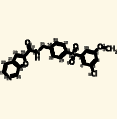 COc1cc(Cl)cc(S(=O)(=O)c2ccc(CNC(=O)c3cc4ccncc4o3)cc2)c1